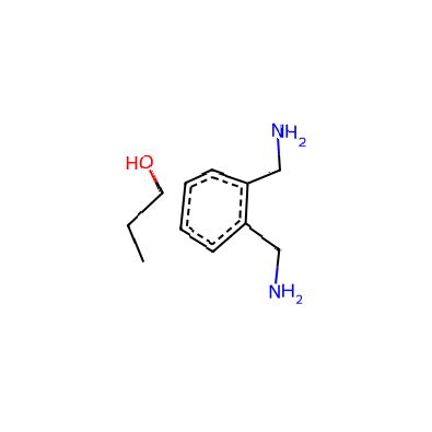 CCCO.NCc1ccccc1CN